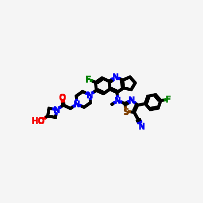 CN(c1nc(-c2ccc(F)cc2)c(C#N)s1)c1c2c(nc3cc(F)c(N4CCN(CC(=O)N5CC(O)C5)CC4)cc13)CCC2